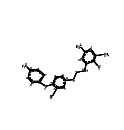 Cc1nc(C)c(Cl)c(NCCc2ccc(Oc3ccc(C(F)(F)F)cn3)c(Br)c2)n1